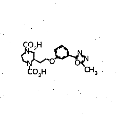 Cc1nnc(-c2cccc(OCC[C@@H]3CN(C(=O)O)CCN3C(=O)O)c2)o1